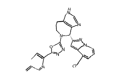 C=C/C=N\C(=C/C)c1nnc(N2CCc3[nH]cnc3[C@@H]2c2cc3c(Cl)cccn3n2)o1